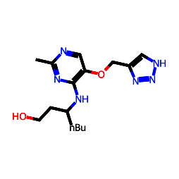 CCCCC(CCO)Nc1nc(C)ncc1OCc1c[nH]nn1